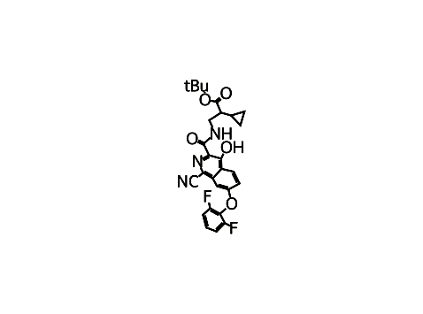 CC(C)(C)OC(=O)C(CNC(=O)c1nc(C#N)c2cc(Oc3c(F)cccc3F)ccc2c1O)C1CC1